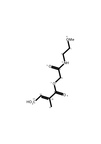 COCCNC(=O)COC(=O)C(C)=CC(=O)O